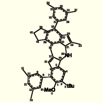 COc1c(C(C)(C)C)cc2c(c1-c1cc(C)cc(C)c1)C=C(C)C2NC1C(C)=Cc2c1cc1c(c2-c2cc(C)cc(C)c2)CCC1